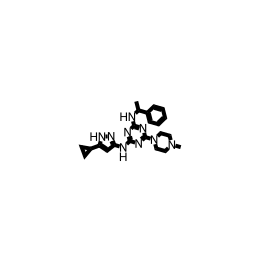 CC(Nc1nc(Nc2cc(C3CC3)[nH]n2)nc(N2CCN(C)CC2)n1)c1ccccc1